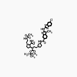 Cn1c(Nc2nc3ccc(Cl)cc3s2)nc2cc(C(=O)NC3CCN(CCN(C(=O)OC(C)(C)C)C4CCN(CCNS(C)(=O)=O)C4C(N)=O)C3)ccc21